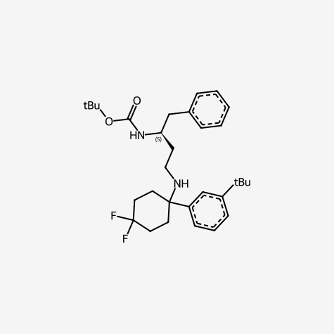 CC(C)(C)OC(=O)N[C@H](CCNC1(c2cccc(C(C)(C)C)c2)CCC(F)(F)CC1)Cc1ccccc1